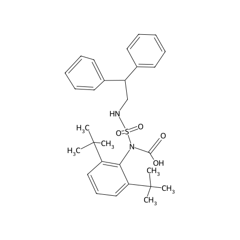 CC(C)(C)c1cccc(C(C)(C)C)c1N(C(=O)O)S(=O)(=O)NCC(c1ccccc1)c1ccccc1